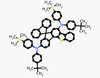 CC(C)(C)c1ccc(N(c2ccc(S(C)(C)C)cc2)c2ccc3c(c2)C2(c4ccccc4-c4ccccc42)c2cc(N(c4ccc(C(C)(C)C)cc4)c4ccc(S(C)(C)C)cc4)c4c(sc5ccccc54)c2-3)cc1